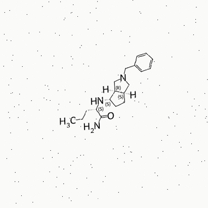 CCC[C@H](N[C@H]1CC[C@@H]2CN(Cc3ccccc3)C[C@@H]21)C(N)=O